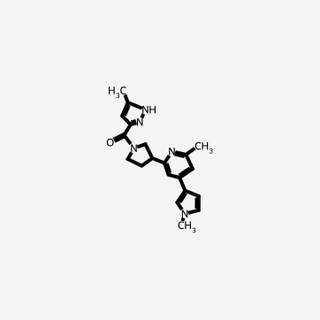 Cc1cc(-c2ccn(C)c2)cc(C2CCN(C(=O)c3cc(C)[nH]n3)C2)n1